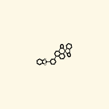 c1cc(-c2nc3ccccc3o2)cc(-c2ccc3c4c(cccc24)C2(c4ccccc4-c4ccccc42)c2ccccc2-3)c1